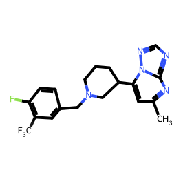 Cc1cc(C2CCCN(Cc3ccc(F)c(C(F)(F)F)c3)C2)n2ncnc2n1